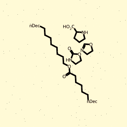 C1=NCCO1.CCCCCCCCCCCCCCCCCCOC(=O)CCCCCCCCCCCCCCC.O=C(O)C1CCCN1.O=C1NCCO1